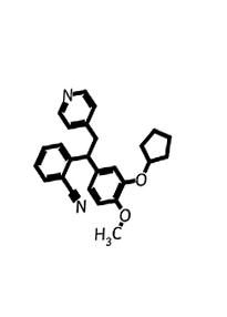 COc1ccc(C(Cc2ccncc2)c2ccccc2C#N)cc1OC1CCCC1